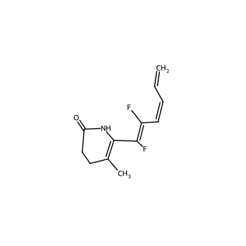 C=C/C=C\C(F)=C(/F)C1=C(C)CCC(=O)N1